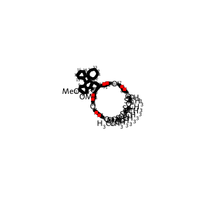 COc1cc2c3c(c4c(c2cc1OC)-c1ccccc1C41CCCCCCC1)C=CC1(O3)c2ccc(cc2)Oc2ccc(cc2)O[Si](C)(C)O[Si](C)(C)O[Si](C)(C)O[Si](C)(C)O[Si](C)(C)Oc2ccc(cc2)Oc2ccc1cc2